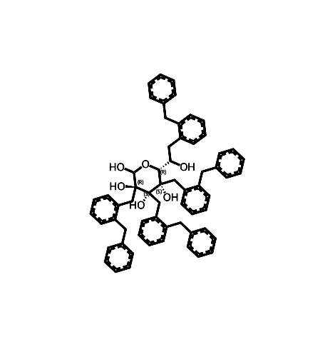 OC(Cc1ccccc1Cc1ccccc1)[C@H]1OC(O)[C@@](O)(Cc2ccccc2Cc2ccccc2)[C@](O)(Cc2ccccc2Cc2ccccc2)[C@]1(O)Cc1ccccc1Cc1ccccc1